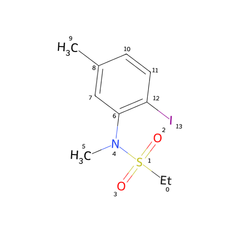 CCS(=O)(=O)N(C)c1cc(C)ccc1I